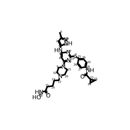 Cc1cc(Nc2cc(N3CCN(CCCCC(=O)NO)CC3)nc(Sc3ccc(NC(=O)C4CC4)cc3)n2)[nH]n1